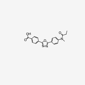 CCC(=O)N(C)c1ccc(-c2nnc(-c3ccc(C(=O)O)cc3)o2)cc1